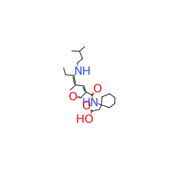 CC/C(NCCC(C)C)=C(C)/C=C(\C=O)C(=O)NC1(CC(=O)O)CCCCC1